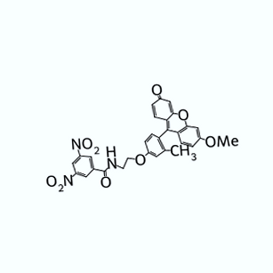 COc1ccc2c(-c3ccc(OCCNC(=O)c4cc([N+](=O)[O-])cc([N+](=O)[O-])c4)cc3C)c3ccc(=O)cc-3oc2c1